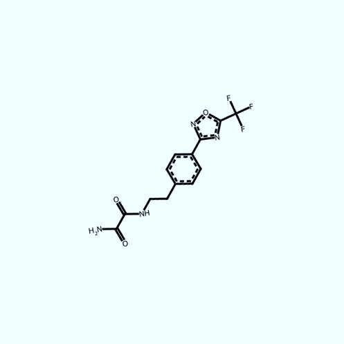 NC(=O)C(=O)NCCc1ccc(-c2noc(C(F)(F)F)n2)cc1